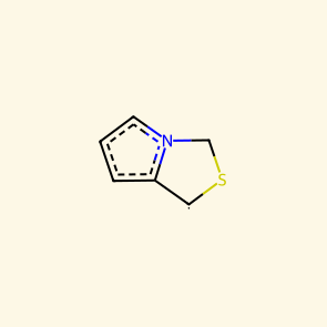 [CH]1SCn2cccc21